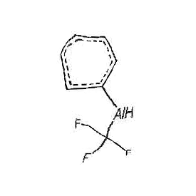 F[C](F)(F)[AlH][c]1ccccc1